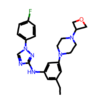 CCc1cc(Nc2ncn(-c3ccc(F)cc3)n2)cc(N2CCN(C3COC3)CC2)c1